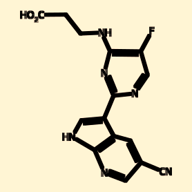 N#Cc1cnc2[nH]cc(-c3ncc(F)c(NCCC(=O)O)n3)c2c1